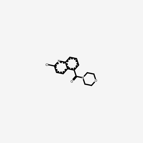 O=C(c1cccc2nc(Cl)ccc12)N1CCOCC1